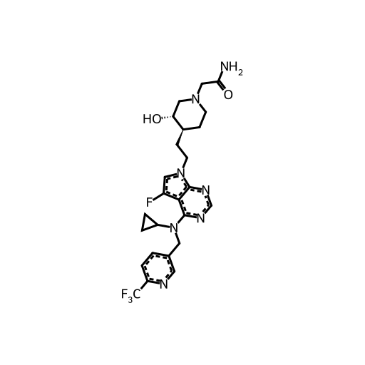 NC(=O)CN1CC[C@@H](CCn2cc(F)c3c(N(Cc4ccc(C(F)(F)F)nc4)C4CC4)ncnc32)[C@H](O)C1